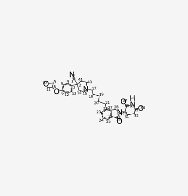 N#CC1(c2ccc(OC3COC3)cc2)CCN(CCCCCc2cccc3c2CN(C2CCC(=O)NC2=O)C3=O)CC1